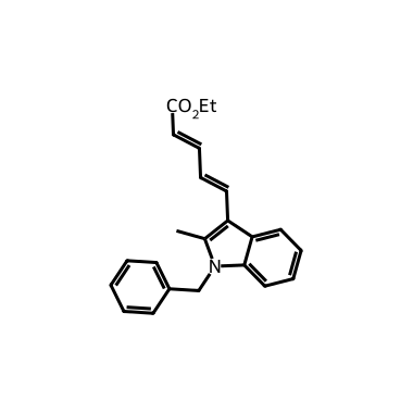 CCOC(=O)/C=C/C=C/c1c(C)n(Cc2ccccc2)c2ccccc12